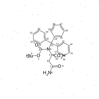 CC(C)(C)OC(=O)N([C@H](CC(N)=O)C(=O)O)C(c1ccccc1)(c1ccccc1)c1ccccc1